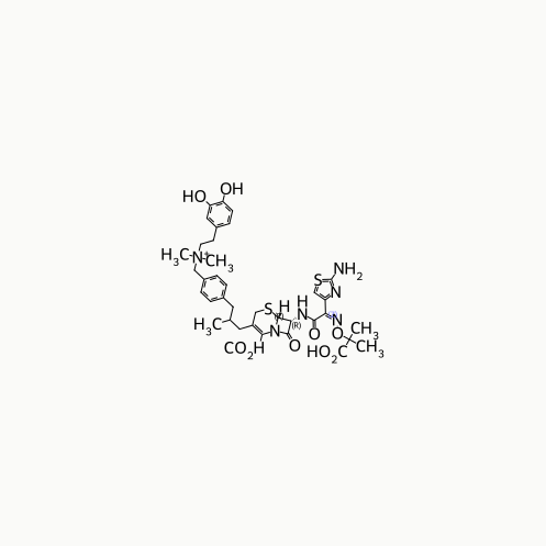 CC(CC1=C(C(=O)O)N2C(=O)[C@@H](NC(=O)/C(=N\OC(C)(C)C(=O)O)c3csc(N)n3)[C@H]2SC1)Cc1ccc(C[N+](C)(C)CCc2ccc(O)c(O)c2)cc1